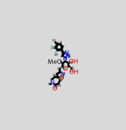 CO[C@@H]1[C@@H](n2cc(-c3ccc(C)c(F)c3F)nn2)[C@@H](O)[C@@H](CO)O[C@@H]1CC1=NO[C@@]2(CCC(=O)N(C)CC2)C1